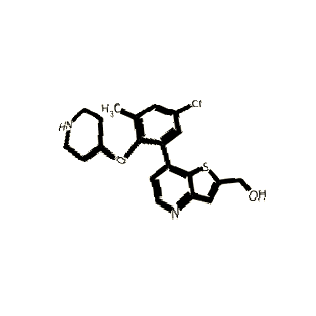 Cc1cc(Cl)cc(-c2ccnc3cc(CO)sc23)c1OC1CCNCC1